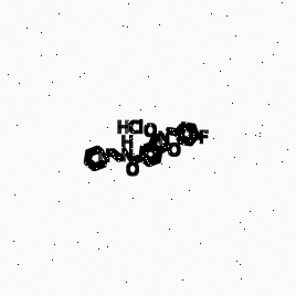 Cl.O=C(NCCN1CCCCC1)c1ccc2c(c1)C(=O)N(Cc1ccc(F)cc1)C2=O